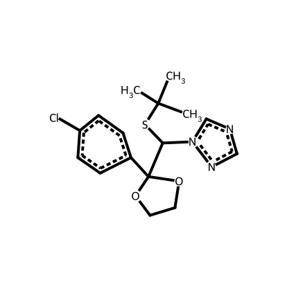 CC(C)(C)SC(n1cncn1)C1(c2ccc(Cl)cc2)OCCO1